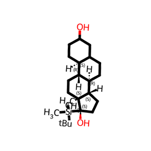 CC(C)(C)[Si](C)(C)[C@@]1(O)CC[C@H]2[C@@H]3CCC4CC(O)CC[C@@H]4[C@H]3CC[C@@]21C